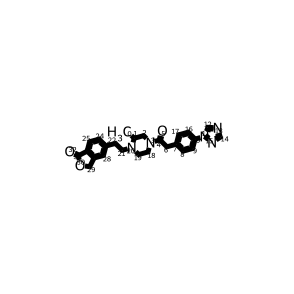 CC1CN(C(=O)Cc2ccc(-n3cncn3)cc2)CCN1CCc1ccc2c(c1)COC2=O